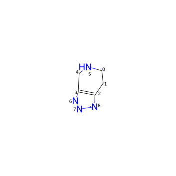 C1CC2=C(CN1)N=N[N]2